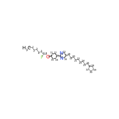 CCCCCC[C@@H](F)COc1ccc(-c2ncc(CCCCCCCCCC3CCCC3)cn2)cc1